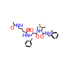 CC(=O)NCCCC(=O)N[C@@H](Cc1ccccc1)[C@H](O)C(=O)N1CSC(C)[C@H]1C(=O)NCc1ccccc1C